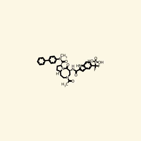 CC(=O)N1CC[C@H]2CC[C@@H](C(=O)N(C)c3ccc(-c4ccccc4)cc3)N2C(=O)[C@@H](NC(=O)c2cc3cc(C(F)(F)P(=O)(O)O)ccc3[nH]2)C1